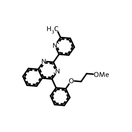 COCCOc1ccccc1-c1nc(-c2cccc(C)n2)nc2ccccc12